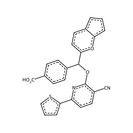 N#Cc1ccc(-c2cccs2)nc1OC(c1ccc(C(=O)O)cc1)c1ccc2cccc-2o1